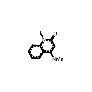 CNc1cc(=O)n(I)c2ccccc12